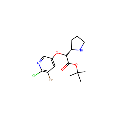 CC(C)(C)OC(=O)C(Oc1cnc(Cl)c(Br)c1)[C@H]1CCCN1